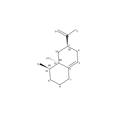 C=C(C)[C@H]1CC=C2CCC[C@@H](C)[C@@]2(C)C1